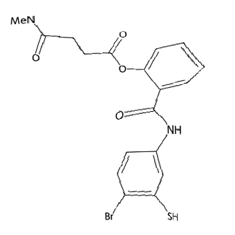 CNC(=O)CCC(=O)Oc1ccccc1C(=O)Nc1ccc(Br)c(S)c1